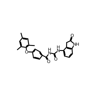 Cc1cc(C)c(Oc2ccc(C(=O)NC(=O)Nc3cccc4c3CC(=O)N4)cc2)c(C)c1